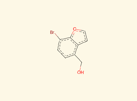 OCc1ccc(Br)c2occc12